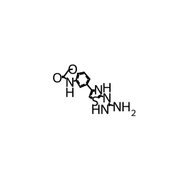 N=C(N)Nc1nc(-c2ccc3c(c2)NC(=O)CO3)cs1